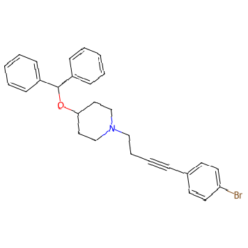 Brc1ccc(C#CCCN2CCC(OC(c3ccccc3)c3ccccc3)CC2)cc1